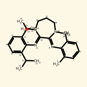 Cc1cccc(C)c1N=C1C(=Nc2c(C(C)C)cccc2C(C)C)N(C)CCCN1C